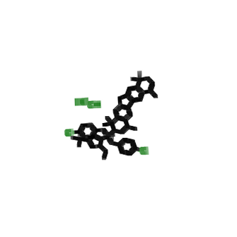 CCC1C=C(C(C)(C)C)C=[C]1[Zr](=[CH]c1ccc(Cl)cc1)(=[CH]c1ccc(Cl)cc1)[CH]1C=C(C)c2cc3c(cc2C1(C)C)Cc1cc2c(cc1-3)C(C)=CCC2(C)C.Cl.Cl